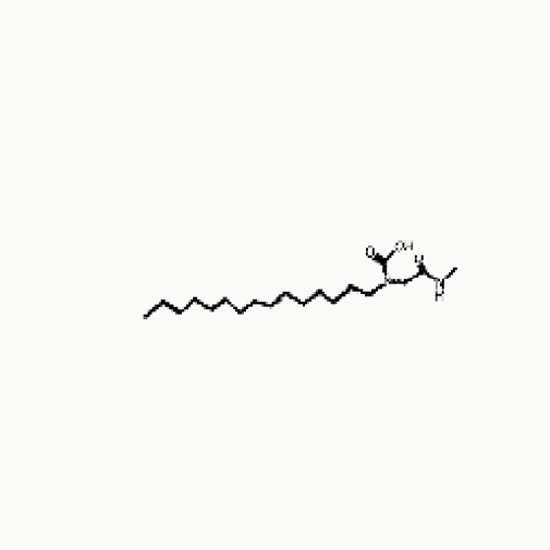 CCCCCCCCCCCCCCCN(CC(=O)NC)C(=O)O